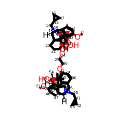 COc1ccc2c3c1O[C@H]1C34CCN(CC3CC3)[C@H](C2)C42CC[C@]1(OCCOc1ccc3c4c1O[C@H]1C45CCN(CC4CC4)[C@H](C3)[C@]53CC[C@@]1(OC)C([C@](C)(O)C(C)(C)C)C3)[C@@H]([C@](C)(O)C(C)(C)C)C2